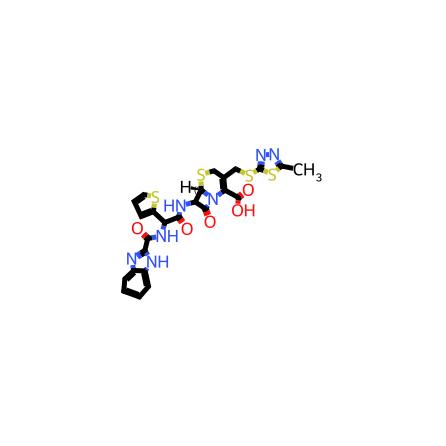 Cc1nnc(SCC2=C(C(=O)O)N3C(=O)C(NC(=O)C(NC(=O)c4nc5ccccc5[nH]4)c4cccs4)[C@@H]3SC2)s1